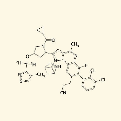 [2H]C([2H])(OC1CC(c2cc3c(C)nc4c(F)c(-c5cccc(Cl)c5Cl)c(CCC#N)cc4c3n2C2C3CNC2C3)N(C(=O)C2CC2)C1)c1nscc1C